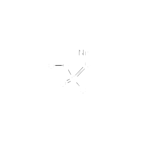 O=S(=O)([O-])O[O-].[Ni+2]